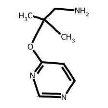 CC(C)(CN)Oc1ccn[c]n1